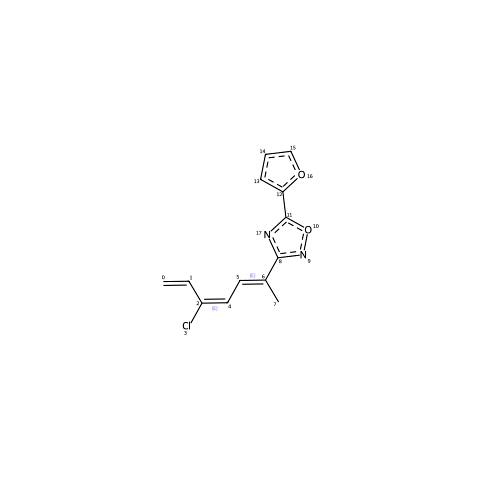 C=C/C(Cl)=C\C=C(/C)c1noc(-c2ccco2)n1